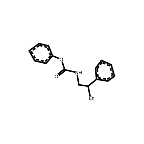 CCC(CNC(=O)Oc1ccccc1)c1ccccc1